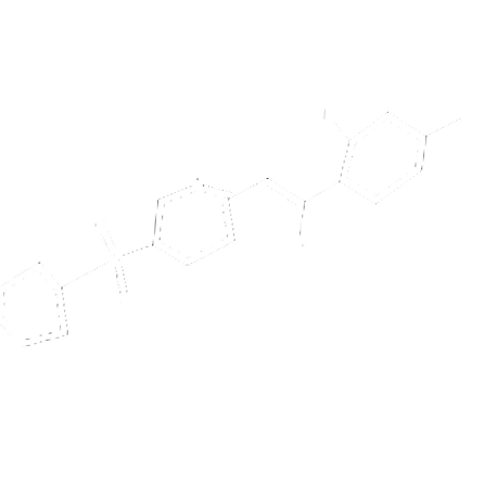 O=S(=O)(c1ccccc1)c1ccc(/C=C(\O)c2ccc(F)cc2F)nc1